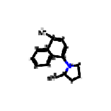 CCCC1CCCN1c1ccc(C#N)c2ccccc12